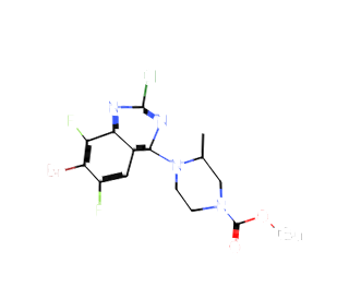 CC1CN(C(=O)OC(C)(C)C)CCN1c1nc(Cl)nc2c(F)c(Br)c(F)cc12